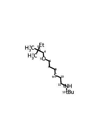 CCC(C)(C)COCCCSCCNC(C)(C)C